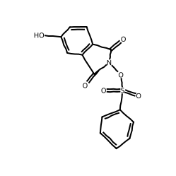 O=C1c2ccc(O)cc2C(=O)N1OS(=O)(=O)c1ccccc1